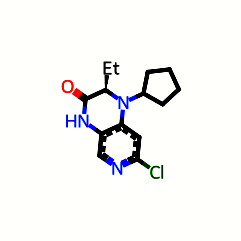 CC[C@@H]1C(=O)Nc2cnc(Cl)cc2N1C1CCCC1